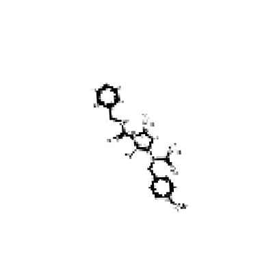 CC[C@H]1[C@@H](N(Cc2ccc(OC)cc2)C(=O)C(F)(F)F)C[C@@H](C(F)(F)F)N1C(=O)OCc1ccccc1